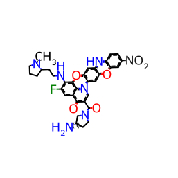 CN1CCCC1CCNc1c(F)cc2c(=O)c(C(=O)N3CC[C@H](N)C3)cn3c4cc5oc6cc([N+](=O)[O-])ccc6[nH]c5cc4oc1c23